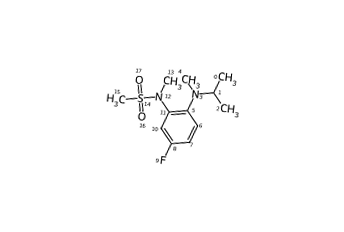 CC(C)N(C)c1ccc(F)cc1N(C)S(C)(=O)=O